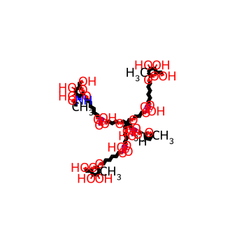 [3H][C@H]1C[C@H](C)O[C@@H]1COP(=O)(O)OCC(COCCCOP(=O)(O)OCCCCCCO[C@@H]1OC(CO)[C@H](O)[C@H](O)C1C)(COCCCOP(=O)(O)OCCCCCCO[C@@H]1OC(CO)[C@H](O)[C@H](O)C1C)COCCCOP(=O)(O)OCCCCCCO[C@@H]1OC(CO)[C@H](O)[C@H](O)C1NC(C)=O